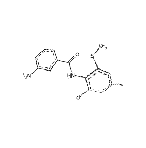 Cc1cc(Cl)c(NC(=O)c2cccc(N)c2)c(SC(F)(F)F)c1